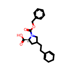 O=C(O)[C@@H]1CC(CCC2=CCCC=C2)CN1C(=O)OCc1ccccc1